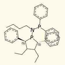 CCCCN(P(c1ccccc1)c1ccccc1)P1[C@H](c2ccccc2)C(CC)C(CC)[C@H]1c1ccccc1